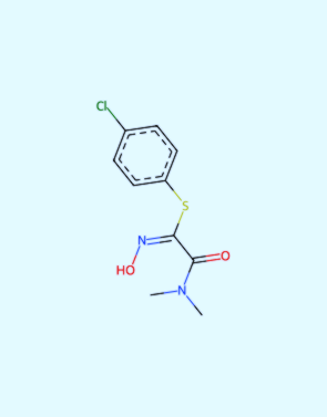 CN(C)C(=O)C(=NO)Sc1ccc(Cl)cc1